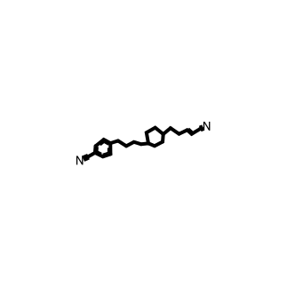 N#CC=CCCC1CCC(CCCCc2ccc(C#N)cc2)CC1